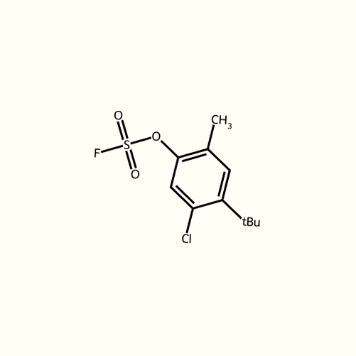 Cc1cc(C(C)(C)C)c(Cl)cc1OS(=O)(=O)F